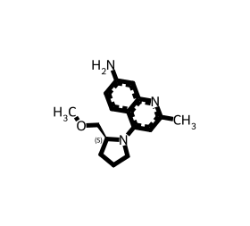 COC[C@@H]1CCCN1c1cc(C)nc2cc(N)ccc12